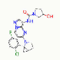 O=C(Nc1cnn2ccc(N3CCC4C[C@]43c3cc(F)ccc3Cl)nc12)N1CC[C@@H](O)C1